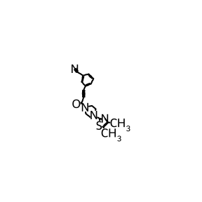 Cc1nc(N2CCN(C(=O)C#Cc3cccc(C#N)c3)CC2)sc1C